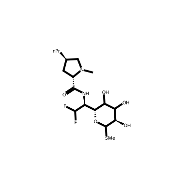 CCC[C@@H]1C[C@@H](C(=O)N[C@H](C(F)F)[C@H]2OC(SC)[C@H](O)C(O)C2O)N(C)C1